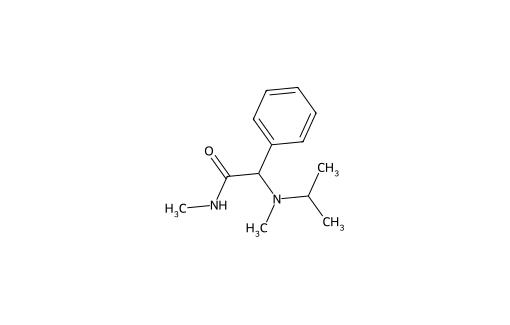 CNC(=O)C(c1ccccc1)N(C)C(C)C